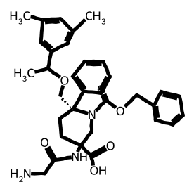 Cc1cc(C)cc(C(C)OC[C@@]2(c3ccccc3)CCC(NC(=O)CN)(C(=O)O)CN2C(=O)OCc2ccccc2)c1